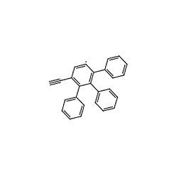 C#Cc1c[c]c(-c2ccccc2)c(-c2ccccc2)c1-c1ccccc1